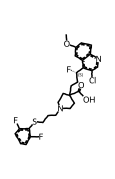 COc1ccc2ncc(Cl)c([C@@H](F)CCC3(C(=O)O)CCN(CCCSc4c(F)cccc4F)CC3)c2c1